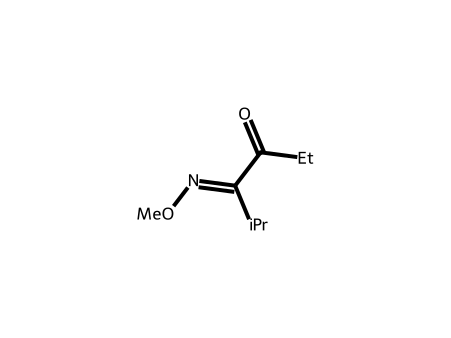 CCC(=O)/C(=N/OC)C(C)C